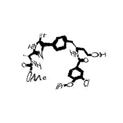 CCc1[nH]c([C@@H](C)NC(=O)OC)nc1-c1ccc(C[C@@H](CCO)NC(=O)c2ccc(OC(C)C)c(Cl)c2)cc1